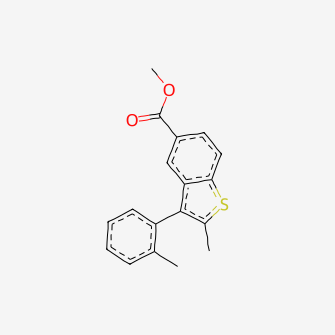 COC(=O)c1ccc2sc(C)c(-c3ccccc3C)c2c1